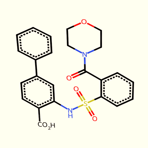 O=C(O)c1ccc(-c2ccccc2)cc1NS(=O)(=O)c1ccccc1C(=O)N1CCOCC1